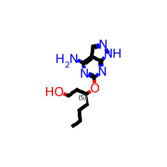 CCCC[C@@H](CCO)Oc1nc(N)c2cn[nH]c2n1